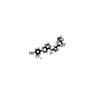 C[C@@H](NC(=O)c1nnc(Nc2ncnc3c2CCN(c2ccc(C#N)c(C(F)(F)F)c2)C3)s1)c1nnco1